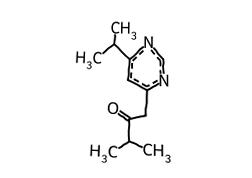 CC(C)C(=O)Cc1cc(C(C)C)ncn1